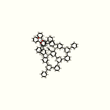 Cc1cc(C)nc(-c2cc(-n3c4cc(-c5nc(-c6ccccc6)nc(-c6ccccc6)n5)ccc4c4ccc(-c5nc(-c6ccccc6)nc(-c6ccccc6)n5)cc43)c(C#N)c(-n3c4cc(-c5nc(-c6ccccc6)nc(-c6ccccc6)n5)ccc4c4ccc(-c5nc(-c6ccccc6)nc(-c6ccccc6)n5)cc43)c2)n1